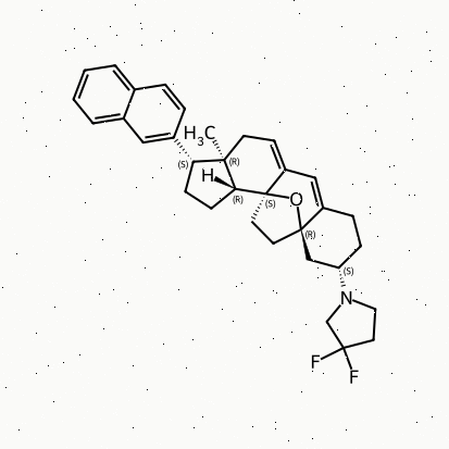 C[C@]12CC=C3C=C4CC[C@H](N5CCC(F)(F)C5)C[C@]45CC[C@]3(O5)[C@@H]1CC[C@@H]2c1ccc2ccccc2c1